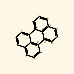 [c]1ccc2cc[c]c3c4cccc5cccc(c1c23)c54